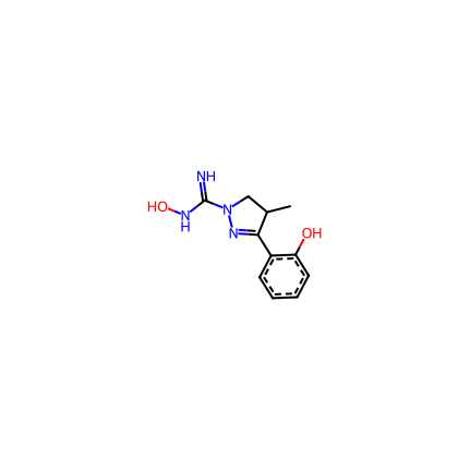 CC1CN(C(=N)NO)N=C1c1ccccc1O